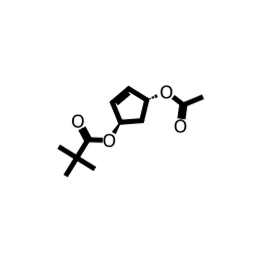 CC(=O)O[C@H]1C=C[C@H](OC(=O)C(C)(C)C)C1